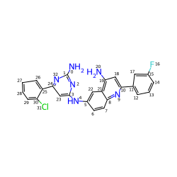 Nc1nc(Nc2ccc3nc(-c4cccc(F)c4)cc(N)c3c2)cc(-c2ccccc2Cl)n1